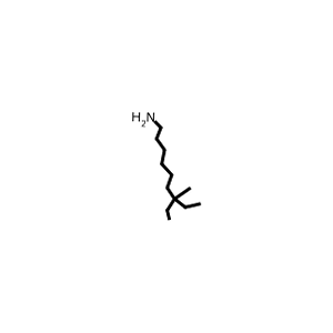 CCC(C)(CC)CCCCCCN